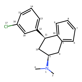 CN(C)[C@@H]1Cc2ccccc2[C@H](c2cccc(Cl)c2)C1